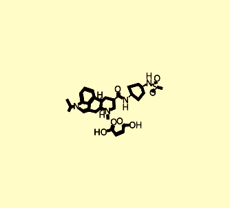 CC(C)n1cc2c3c(cccc31)[C@H]1C[C@@H](C(=O)N[C@H]3CC[C@H](NS(C)(=O)=O)CC3)CN(C)[C@@H]1C2.O=C(O)/C=C\C(=O)O